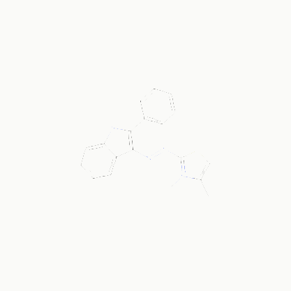 Cc1csc(N=Nc2c(-c3ccccc3)[nH]c3ccccc23)[n+]1C.[Cl-]